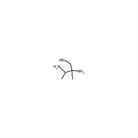 CCCCCC(C)(N)C(C)N